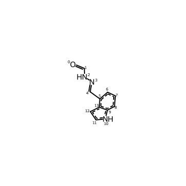 O=CN/N=C/c1cccc2[nH]ccc12